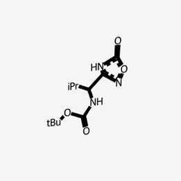 CC(C)C(NC(=O)OC(C)(C)C)c1noc(=O)[nH]1